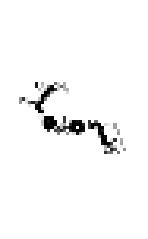 CC(C)=CCC[C@@H](C)CCOc1ccc(OBOc2ccc(OCC[C@H](C)CCC=C(C)C)cc2)cc1